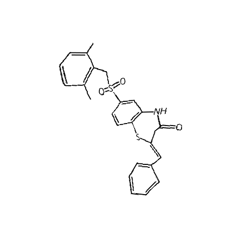 Cc1cccc(C)c1CS(=O)(=O)c1ccc2c(c1)NC(=O)C(=Cc1ccccc1)S2